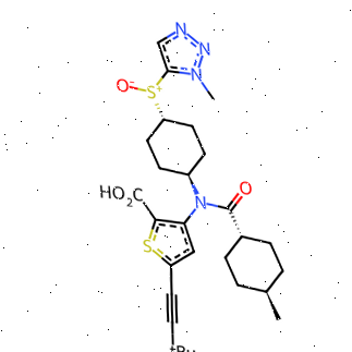 Cn1nncc1[S+]([O-])[C@H]1CC[C@H](N(c2cc(C#CC(C)(C)C)sc2C(=O)O)C(=O)[C@H]2CC[C@H](C)CC2)CC1